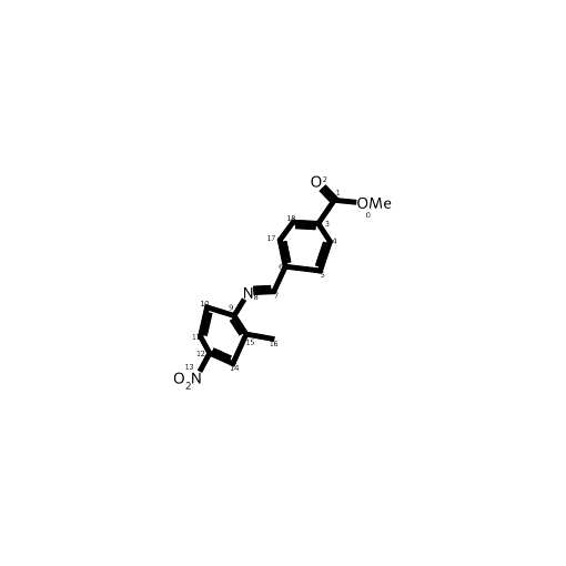 COC(=O)c1ccc(C=Nc2ccc([N+](=O)[O-])cc2C)cc1